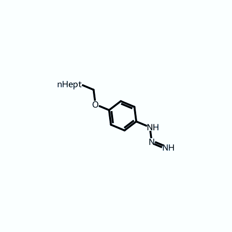 CCCCCCCCOc1ccc(NN=N)cc1